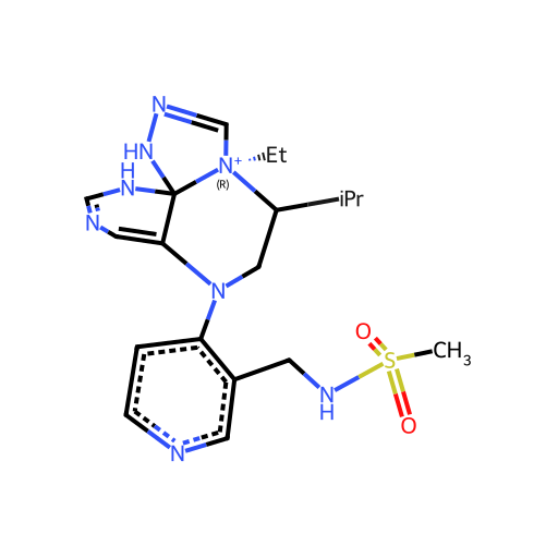 CC[N@@+]12C=NNC13NC=NC=C3N(c1ccncc1CNS(C)(=O)=O)CC2C(C)C